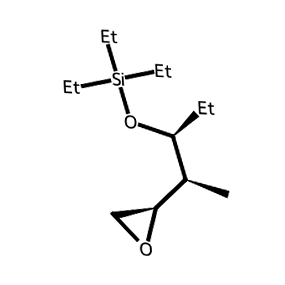 CC[C@H](O[Si](CC)(CC)CC)[C@@H](C)[C@@H]1CO1